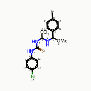 COC(NC(NC(=S)Nc1ccc(Br)cc1)C(Cl)(Cl)Cl)c1ccc(C)cc1